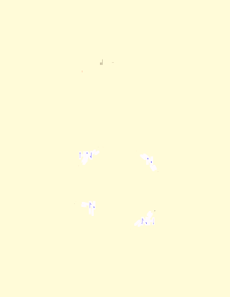 CCCCCCCCCCOc1ccc(-c2cc3cc4nc(cc5ccc(cc6nc(cc2[nH]3)C=C6)[nH]5)C=C4)cc1